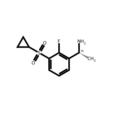 C[C@@H](N)c1cccc(S(=O)(=O)C2CC2)c1F